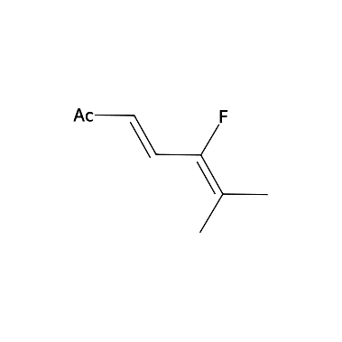 CC(=O)C=CC(F)=C(C)C